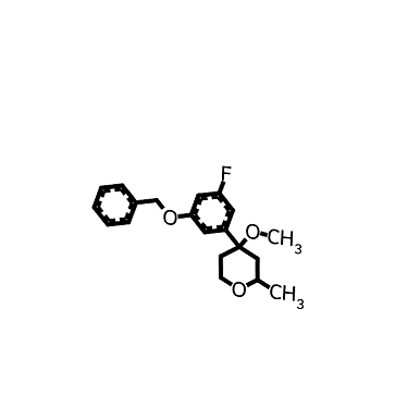 COC1(c2cc(F)cc(OCc3ccccc3)c2)CCOC(C)C1